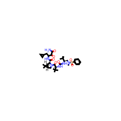 C=C(C)[C@@H](CN(C)S(=O)(=O)c1ccccc1)NC(=O)N[C@H](C(=O)N1C[C@H]2[C@@H]([C@H]1C(=O)NC(CC1CC1)C(=O)C(N)=O)C2(C)C)C(C)(C)C